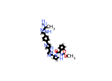 COC(=O)N[C@@H](C(=O)N1CCC[C@H]1c1ncc(-c2ccc(-c3ccc(-c4cnc([C@H](C)N)[nH]4)cc3)nc2)[nH]1)c1ccccc1